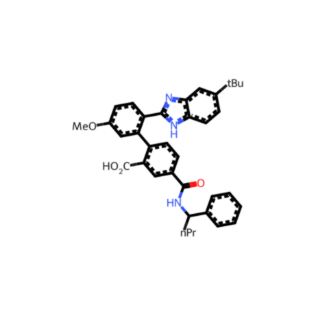 CCCC(NC(=O)c1ccc(-c2cc(OC)ccc2-c2nc3cc(C(C)(C)C)ccc3[nH]2)c(C(=O)O)c1)c1ccccc1